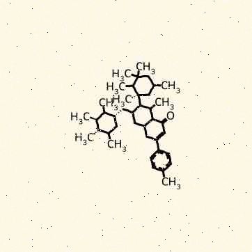 Cc1ccc(C2=CC(=O)C3C(C2)CC(C[C@@H]2CC(C)[C@H](C)[C@@H](C)C2C)C([C@]2(C)CC(C)CC(C)(C)C2C)C3C)cc1